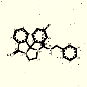 Cc1ccc(C23c4ccccc4C(=O)N2CCN3C(=S)NCc2ccccc2)cc1